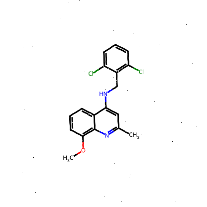 COc1cccc2c(NCc3c(Cl)cccc3Cl)cc(C)nc12